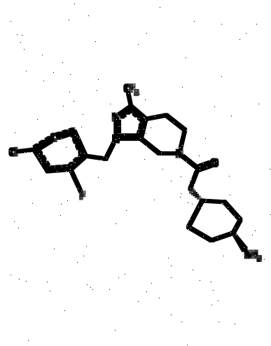 N[C@H]1CC[C@H](CC(=O)N2CCc3c(C(F)(F)F)nn(Cc4ccc(Cl)cc4F)c3C2)CC1